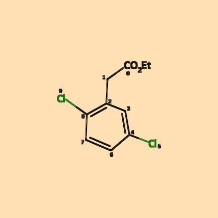 CCOC(=O)Cc1cc(Cl)ccc1Cl